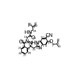 CC(F)COc1cc2nc(Cc3nn(CC(=O)NCC(F)F)c(=O)c4ccccc34)[nH]c2cc1C#N